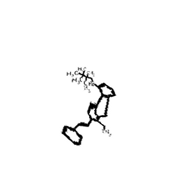 CCc1c(/C=C/c2ccccc2)ccc2c1Cc1cccc(BCC(C)(C)C(C)(C)C)c1-2